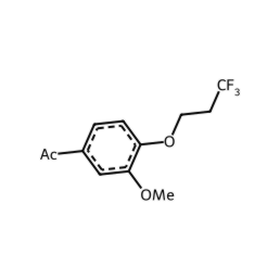 COc1cc(C(C)=O)ccc1OCCC(F)(F)F